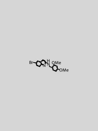 COc1ccc(CNc2ccc3cc(Br)ccc3n2)c(OC)c1